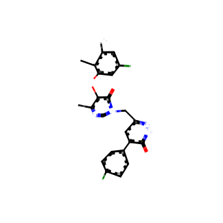 Cc1c(C#N)cc(F)cc1Oc1c(C(F)(F)F)ncn(Cc2cc(-c3ccc(F)cc3)c(=O)[nH]n2)c1=O